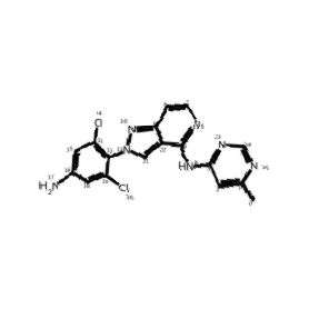 Cc1cc(Nc2nccc3nn(-c4c(Cl)cc(N)cc4Cl)cc23)ncn1